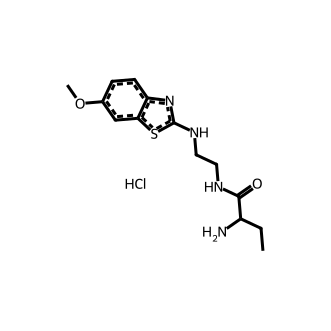 CCC(N)C(=O)NCCNc1nc2ccc(OC)cc2s1.Cl